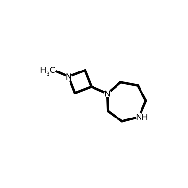 CN1CC(N2CCCNCC2)C1